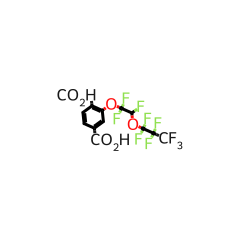 O=C(O)c1ccc(C(=O)O)c(OC(F)(F)C(F)OC(F)(F)C(F)(F)C(F)(F)F)c1